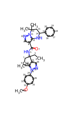 CCC(CC)(NC(=O)c1cnn2c1NC(c1ccccc1)CC2(C)C)c1cnn(-c2ccc(OC)cc2)c1C